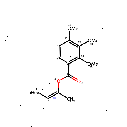 CCCCCC/C=C(/C)OC(=O)c1ccc(OC)c(OC)c1OC